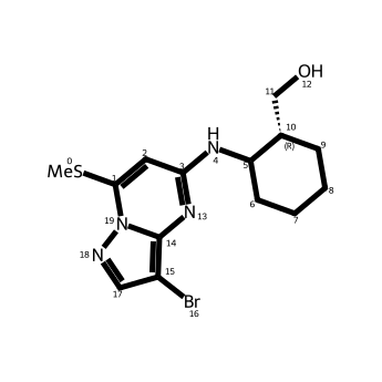 CSc1cc(NC2CCCC[C@H]2CO)nc2c(Br)cnn12